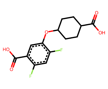 O=C(O)c1cc(OC2CCC(C(=O)O)CC2)c(F)cc1F